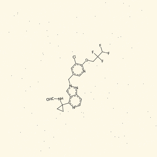 O=CNC1(c2nccc3nn(Cc4cnc(OCC(F)(F)C(F)F)c(Cl)c4)cc23)CC1